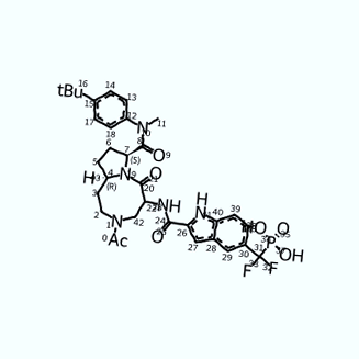 CC(=O)N1CC[C@H]2CC[C@@H](C(=O)N(C)c3ccc(C(C)(C)C)cc3)N2C(=O)C(NC(=O)c2cc3cc(C(F)(F)P(=O)(O)O)ccc3[nH]2)C1